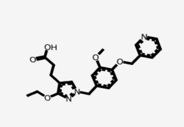 CCOc1nn(Cc2ccc(OCc3cccnc3)c(OC)c2)cc1CCC(=O)O